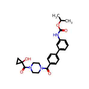 CC(C)OC(=O)Nc1cccc(-c2ccc(C(=O)N3CCN(C(=O)C4(O)CC4)CC3)cc2)c1